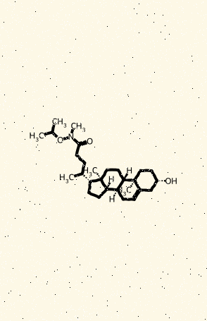 CC(C)ON(C)C(=O)CCC(C)[C@H]1CC[C@H]2[C@@H]3CC=C4C[C@@H](O)CC[C@]4(C)[C@H]3CC[C@]12C